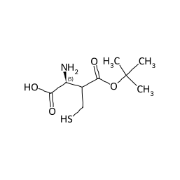 CC(C)(C)OC(=O)C(CS)[C@H](N)C(=O)O